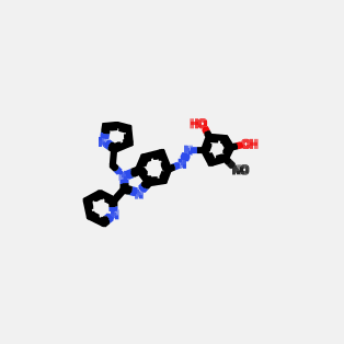 O=Nc1cc(/N=N/c2ccc3c(c2)nc(-c2ccccn2)n3Cc2ccccn2)c(O)cc1O